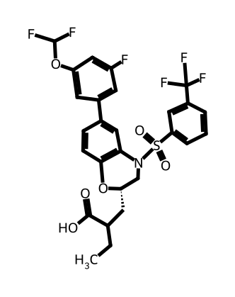 CCC(C[C@H]1CN(S(=O)(=O)c2cccc(C(F)(F)F)c2)c2cc(-c3cc(F)cc(OC(F)F)c3)ccc2O1)C(=O)O